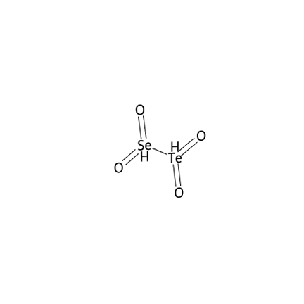 O=[SeH](=O)[TeH](=O)=O